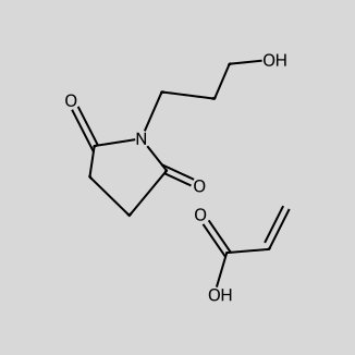 C=CC(=O)O.O=C1CCC(=O)N1CCCO